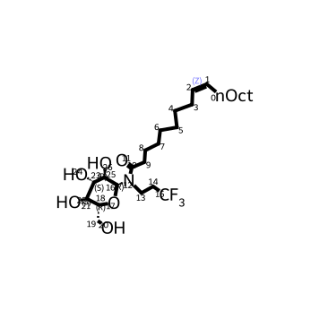 CCCCCCCC/C=C\CCCCCCCC(=O)N(CCC(F)(F)F)[C@@H]1O[C@H](CO)[C@@H](O)[C@H](O)[C@H]1O